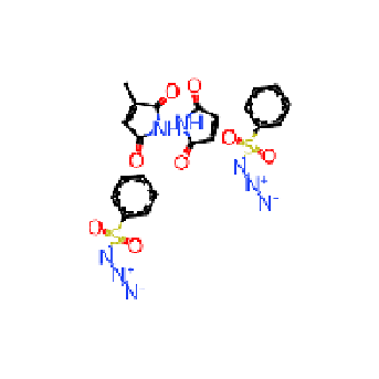 CC1=CC(=O)NC1=O.O=C1C=CC(=O)N1.[N-]=[N+]=NS(=O)(=O)c1ccccc1.[N-]=[N+]=NS(=O)(=O)c1ccccc1